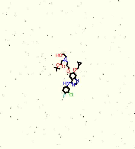 C[C@@H](O)CN(CCCOc1cc2c(Nc3ccc(F)c(Cl)c3)ncnc2cc1OCC1CC1)CC(=O)OC(C)(C)C